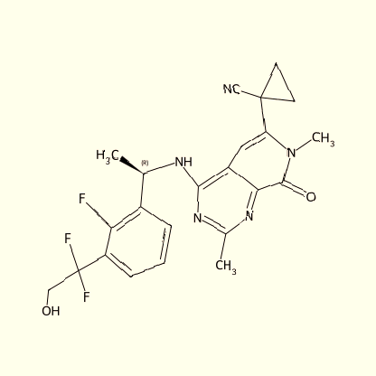 Cc1nc(N[C@H](C)c2cccc(C(F)(F)CO)c2F)c2cc(C3(C#N)CC3)n(C)c(=O)c2n1